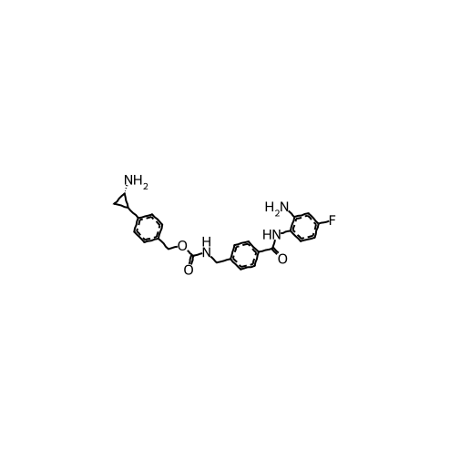 Nc1cc(F)ccc1NC(=O)c1ccc(CNC(=O)OCc2ccc(C3C[C@@H]3N)cc2)cc1